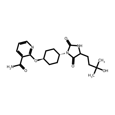 CC(C)(O)CCC1NC(=O)N([C@H]2CC[C@H](Oc3ncccc3C(N)=O)CC2)C1=O